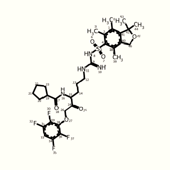 Cc1c(C)c(S(=O)(=O)NC(=N)NCCCC(NC(=O)C2CCCC2)C(=O)COc2c(F)c(F)cc(F)c2F)c(C)c2c1C(C)(C)OC2